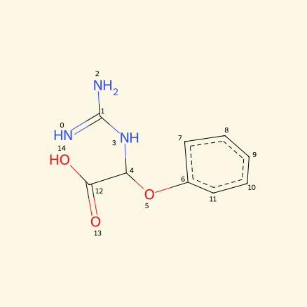 N=C(N)NC(Oc1ccccc1)C(=O)O